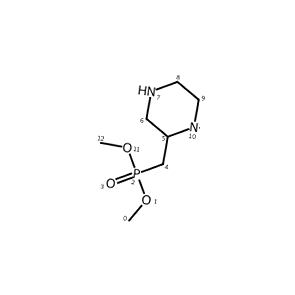 COP(=O)(CC1CNCC[N]1)OC